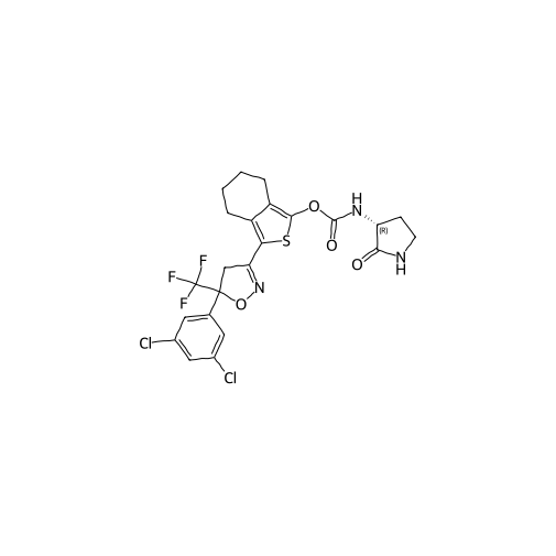 O=C(N[C@@H]1CCNC1=O)Oc1sc(C2=NOC(c3cc(Cl)cc(Cl)c3)(C(F)(F)F)C2)c2c1CCCC2